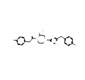 CC1CN(c2nc(Cc3ccc(F)cc3)ns2)CCN1C(=O)Cc1ccc(F)cc1